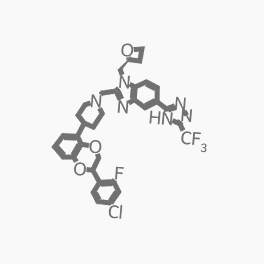 Fc1cc(Cl)ccc1C1COc2c(cccc2C2CCN(Cc3nc4cc(-c5nnc(C(F)(F)F)[nH]5)ccc4n3C[C@@H]3CCO3)CC2)O1